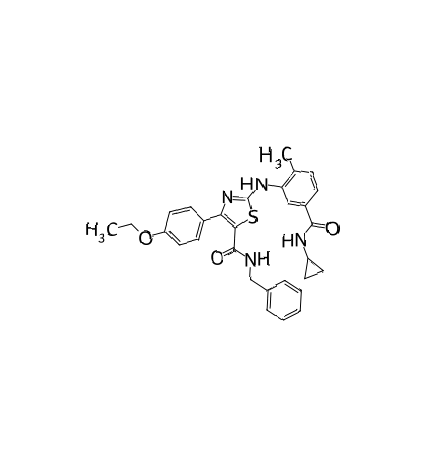 CCOc1ccc(-c2nc(Nc3cc(C(=O)NC4CC4)ccc3C)sc2C(=O)NCc2ccccc2)cc1